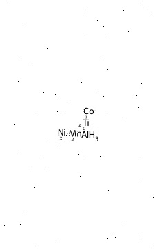 [AlH3].[Co].[Mn].[Ni].[Ti]